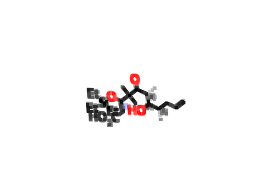 C=CC[C@H](C)[C@@H](O)[C@@H](C)C(=O)C(C)(C)/C(=C/C(=O)O)O[Si](CC)(CC)CC